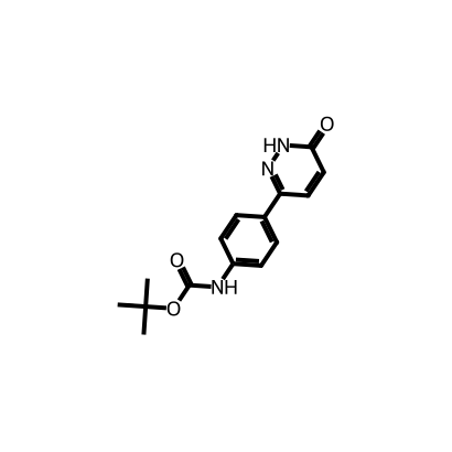 CC(C)(C)OC(=O)Nc1ccc(-c2ccc(=O)[nH]n2)cc1